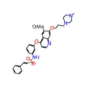 COc1cc2c(Oc3cccc(NS(=O)(=O)C=Cc4ccccc4)c3)ccnc2cc1OCCCN1CCN(C)CC1